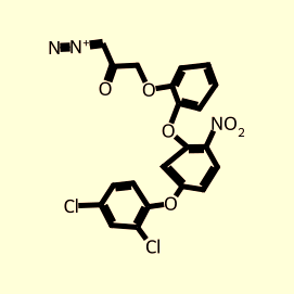 [N-]=[N+]=CC(=O)COc1ccccc1Oc1cc(Oc2ccc(Cl)cc2Cl)ccc1[N+](=O)[O-]